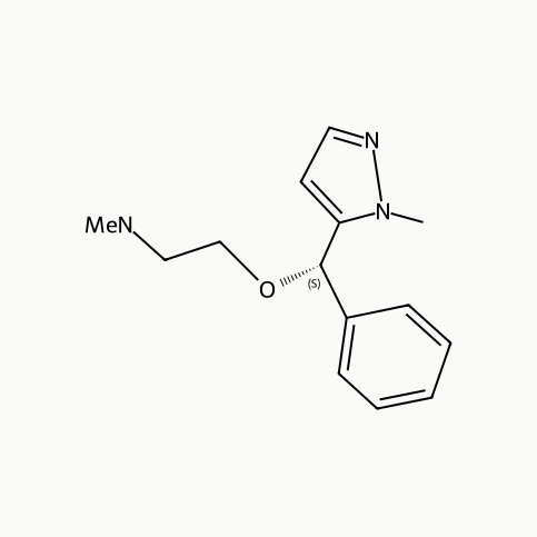 CNCCO[C@@H](c1ccccc1)c1ccnn1C